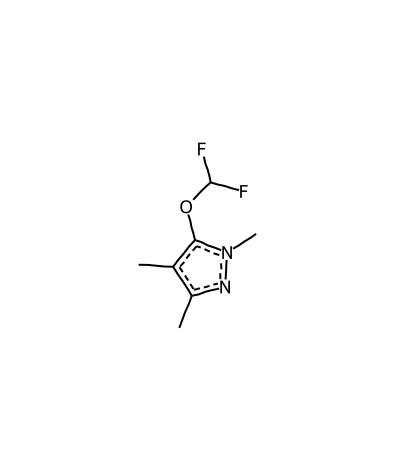 Cc1nn(C)c(OC(F)F)c1C